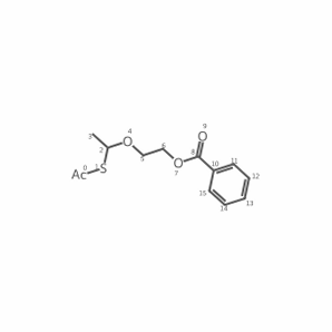 CC(=O)SC(C)OCCOC(=O)c1ccccc1